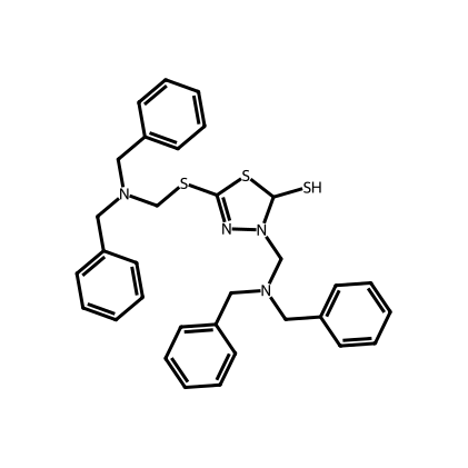 SC1SC(SCN(Cc2ccccc2)Cc2ccccc2)=NN1CN(Cc1ccccc1)Cc1ccccc1